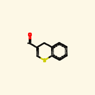 O=[C]C1=CSc2ccccc2C1